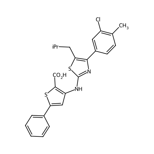 Cc1ccc(-c2nc(Nc3cc(-c4ccccc4)sc3C(=O)O)sc2CC(C)C)cc1Cl